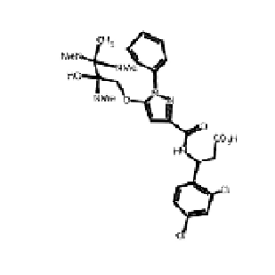 CNC(C)(NC)[C@@](O)(COc1cc(C(=O)N[C@@H](CC(=O)O)c2ccc(Cl)cc2Cl)nn1-c1ccccc1)NC